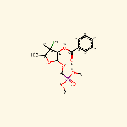 BC1OC(OCP(=O)(OC)OC)C(OC(=O)c2ccccc2)C1(C)F